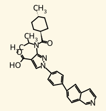 CC(C)N(c1nn(-c2ccc(-c3ccc4cnccc4c3)cc2)cc1C(=O)O)C(=O)[C@H]1CC[C@H](C)CC1